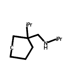 CC(C)NCC1(C(C)C)CCCCC1